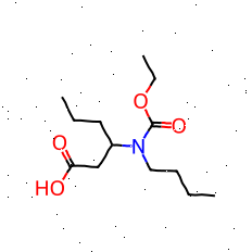 CCCCN(C(=O)OCC)C(CCC)CC(=O)O